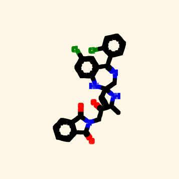 C=CC1(NC(C)C(=O)CN2C(=O)c3ccccc3C2=O)CN=C(c2ccccc2Cl)c2cc(Cl)ccc2N1